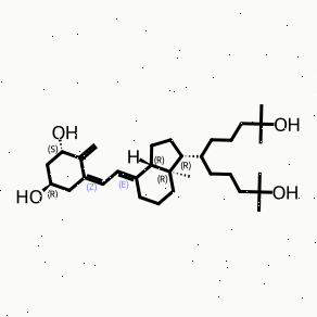 C=C1/C(=C\C=C2/CCC[C@]3(C)[C@@H](C(CCCC(C)(C)O)CCCC(C)(C)O)CC[C@@H]23)C[C@@H](O)C[C@@H]1O